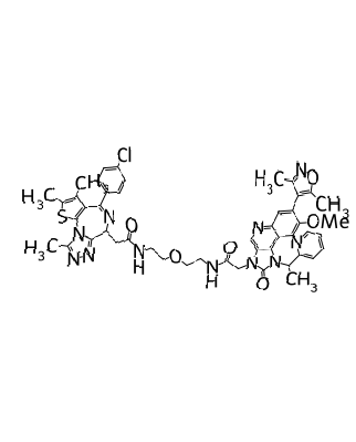 COc1cc2c(cc1-c1c(C)noc1C)ncc1c2n(C(C)c2ccccn2)c(=O)n1CC(=O)NCCOCCNC(=O)CC1N=C(c2ccc(Cl)cc2)c2c(sc(C)c2C)-n2c(C)nnc21